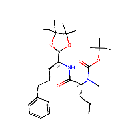 CCC[C@H](C(=O)N[C@@H](CCCc1ccccc1)B1OC(C)(C)C(C)(C)O1)N(C)C(=O)OC(C)(C)C